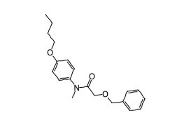 CCCCOc1ccc(N(C)C(=O)COCc2ccccc2)cc1